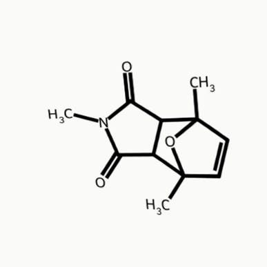 CN1C(=O)C2C(C1=O)C1(C)C=CC2(C)O1